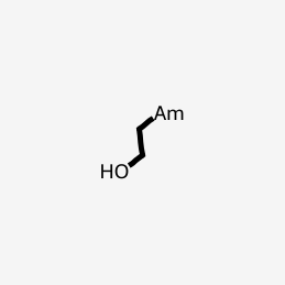 OC[CH2][Am]